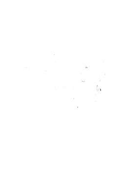 c1cc2ccc3cccc4ccc(c1)c2c34.c1ccc2cc3ccccc3cc2c1.c1ccc2ccccc2c1.c1ccc2nc3ccccc3cc2c1